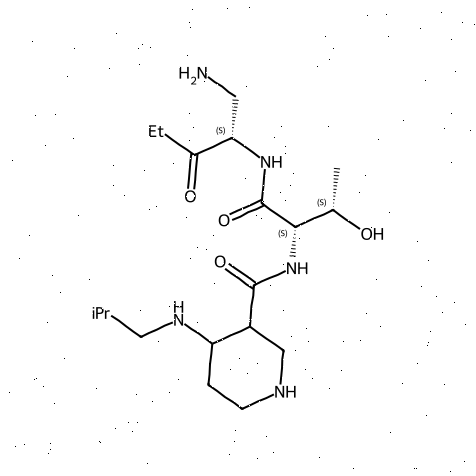 CCC(=O)[C@H](CN)NC(=O)[C@@H](NC(=O)C1CNCCC1NCC(C)C)[C@H](C)O